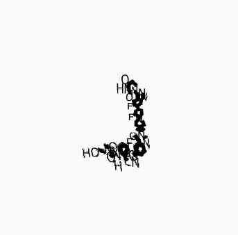 CN(CCO)S(=O)(=O)Nc1ccc(F)c(Oc2ccc3ncn(C4CC5(CCN(C6CCC(c7cc8c(cc7F)c(N7CCC(=O)NC7=O)nn8C)CC6F)CC5)C4)c(=O)c3c2)c1C#N